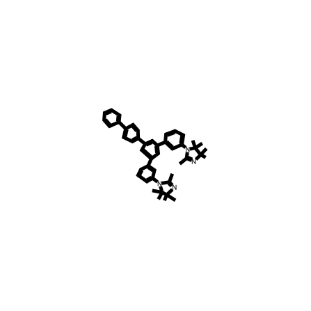 CC1=NC(C)(C)C(C)(C)N1c1cccc(-c2cc(-c3ccc(-c4ccccc4)cc3)cc(-c3cccc(N4C(C)=NC(C)(C)C4(C)C)c3)c2)c1